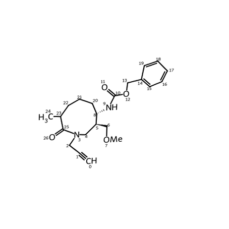 C#CCN1C[C@H](COC)[C@@H](NC(=O)OCc2ccccc2)CCCC(C)C1=O